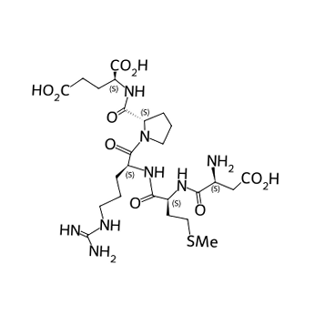 CSCC[C@H](NC(=O)[C@@H](N)CC(=O)O)C(=O)N[C@@H](CCCNC(=N)N)C(=O)N1CCC[C@H]1C(=O)N[C@@H](CCC(=O)O)C(=O)O